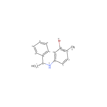 N#Cc1ccc(NC(C(=O)O)c2ccccc2)cc1Br